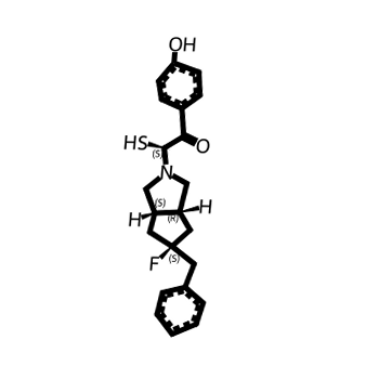 O=C(c1ccc(O)cc1)[C@H](S)N1C[C@@H]2C[C@](F)(Cc3ccccc3)C[C@@H]2C1